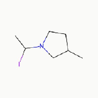 CC1CCN(C(C)I)C1